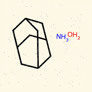 C1C2CC3CC1CC(C2)C3.N.O